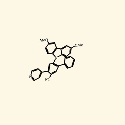 COc1ccc2c(c1)c1cc(OC)ccc1n2-c1cc(-c2ccncc2)c(C#N)cc1-c1ccccc1